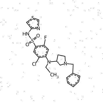 CCN(c1cc(F)c(S(=O)(=O)Nc2cscn2)cc1Cl)C1CCN(Cc2ccccc2)C1